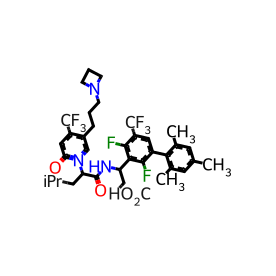 Cc1cc(C)c(-c2cc(C(F)(F)F)c(F)c(C(CC(=O)O)NC(=O)C(CC(C)C)n3cc(CCCN4CCC4)c(C(F)(F)F)cc3=O)c2F)c(C)c1